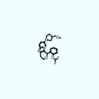 COCC1CCN(c2ccc3nc4c(n3c2)C(c2ccccc2OC(F)F)OCC4)C1